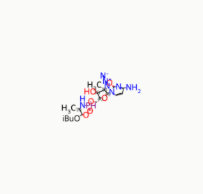 CC(C)COC(=O)[C@H](C)N[PH](=O)OC[C@H]1O[C@@H](n2ccc(N)nc2=O)[C@](C)(N=[N+]=[N-])[C@@H]1O